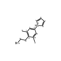 Cc1cc([SH]2C=CC=C2)cc(C)c1[CH]CBr